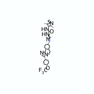 Cc1nsc(C)c1NC(=O)NS/N=C/c1ccc2c(ccn3c(-c4ccc(OC(F)(F)F)cc4)cnc23)c1